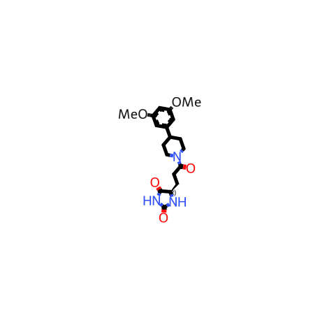 COc1cc(OC)cc(C2CCN(C(=O)CC[C@H]3NC(=O)NC3=O)CC2)c1